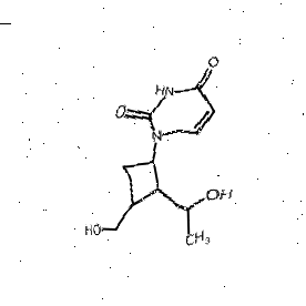 CC(O)C1C(CO)CC1n1ccc(=O)[nH]c1=O